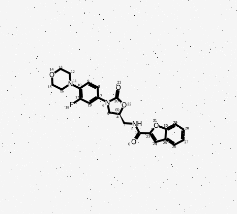 O=C(NC[C@H]1CN(c2ccc(N3CCOCC3)c(F)c2)C(=O)O1)c1cc2ccccc2o1